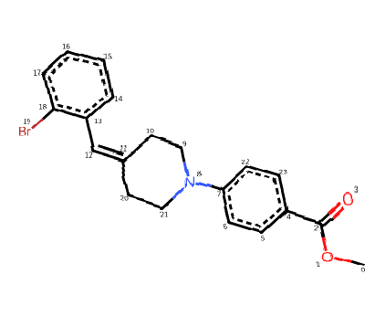 COC(=O)c1ccc(N2CCC(=Cc3ccccc3Br)CC2)cc1